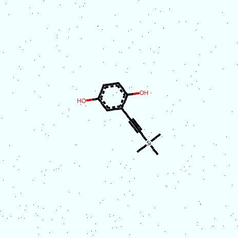 C[Si](C)(C)C#Cc1cc(O)ccc1O